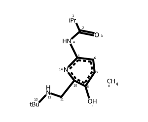 C.CC(C)C(=O)Nc1ccc(O)c(CNC(C)(C)C)n1